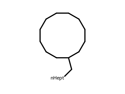 CCCCCCCCC1CCCCCCCCCCC1